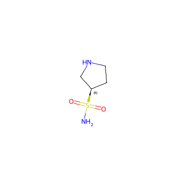 NS(=O)(=O)[C@@H]1CCNC1